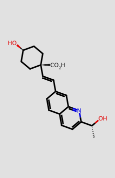 C[C@@H](O)c1ccc2ccc(/C=C/[C@]3(C(=O)O)CC[C@@H](O)CC3)cc2n1